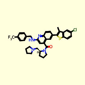 Cc1c(-c2ccc3nc(NCc4ccc(C(F)(F)F)cc4)cc(C(=O)N4CCC[C@H]4CN4CCCC4)c3c2)sc2ccc(Cl)cc12